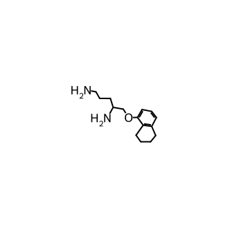 NCCCC(N)COc1cccc2c1CCCC2